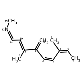 C=C(/C=C\C(C)=C/C)/C(C)=C/C=N\C